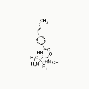 CC/C=C/c1ccc(C(=O)N[C@H](C(=O)NO)C(C)(C)N)cc1